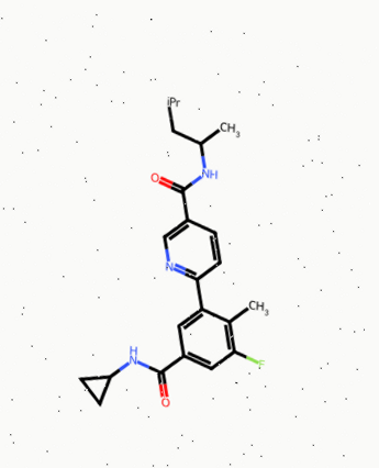 Cc1c(F)cc(C(=O)NC2CC2)cc1-c1ccc(C(=O)NC(C)CC(C)C)cn1